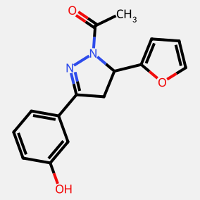 CC(=O)N1N=C(c2cccc(O)c2)CC1c1ccco1